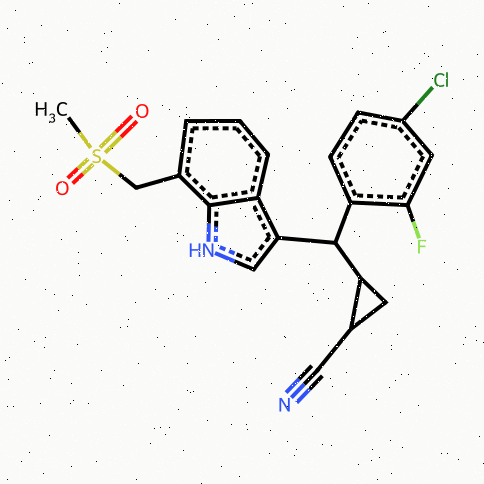 CS(=O)(=O)Cc1cccc2c(C(c3ccc(Cl)cc3F)C3CC3C#N)c[nH]c12